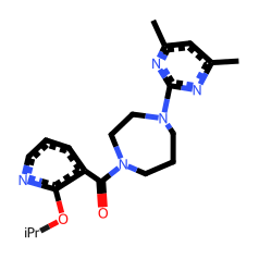 Cc1cc(C)nc(N2CCCN(C(=O)c3cccnc3OC(C)C)CC2)n1